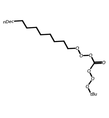 CCCCCCCCCCCCCCCCCCOOOC(=O)OOOC(C)(C)C